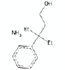 CCC(CC)(CCO)c1ccccc1.N